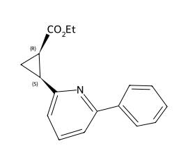 CCOC(=O)[C@@H]1C[C@@H]1c1cccc(-c2ccccc2)n1